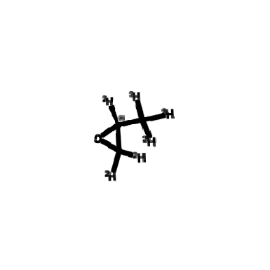 [2H]C([2H])([2H])[C@@]1([2H])OC1([2H])[2H]